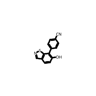 N#Cc1ccc(-c2c(O)ccc3cnsc23)cc1